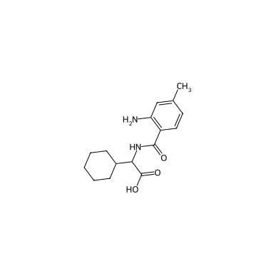 Cc1ccc(C(=O)NC(C(=O)O)C2CCCCC2)c(N)c1